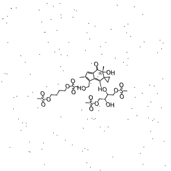 CC1=C(CO)C2=C(C)C3(CC3)[C@@](C)(O)C(=O)C2=C1.CS(=O)(=O)OCC(O)C(O)COS(C)(=O)=O.CS(=O)(=O)OCCCCOS(C)(=O)=O